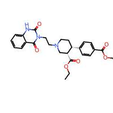 CCOC(=O)c1ccc([C@H]2CCN(CCn3c(=O)[nH]c4ccccc4c3=O)C[C@H]2C(=O)OCC)cc1